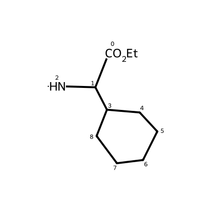 CCOC(=O)C([NH])C1CCCCC1